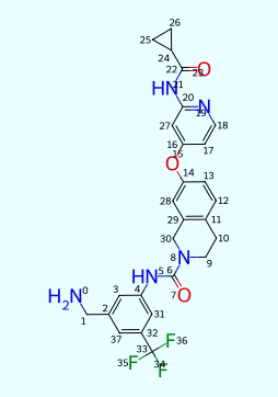 NCc1cc(NC(=O)N2CCc3ccc(Oc4ccnc(NC(=O)C5CC5)c4)cc3C2)cc(C(F)(F)F)c1